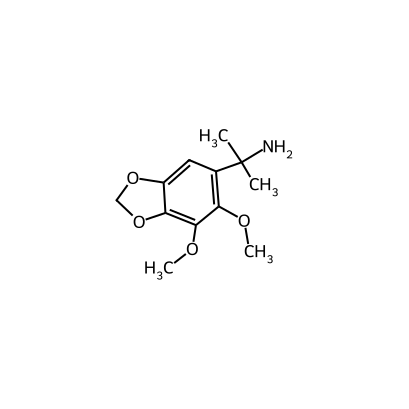 COc1c(C(C)(C)N)cc2c(c1OC)OCO2